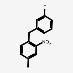 Cc1ccc(Cc2cccc(F)c2)c([N+](=O)[O-])c1